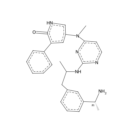 CC(Cc1cccc([C@@H](C)N)c1)Nc1nccc(N(C)c2c[nH]c(=O)c(-c3ccccc3)c2)n1